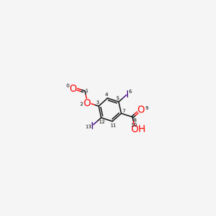 O=COc1cc(I)c(C(=O)O)cc1I